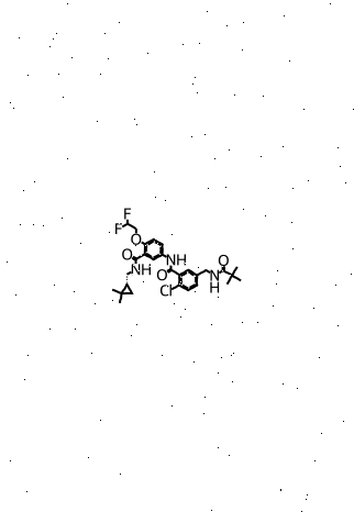 CC(C)(C)C(=O)NCc1ccc(Cl)c(C(=O)Nc2ccc(OCC(F)F)c(C(=O)NC[C@@H]3CC3(C)C)c2)c1